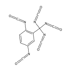 O=C=Nc1ccc(N=C=O)c(C(N=C=O)(N=C=O)N=C=O)c1